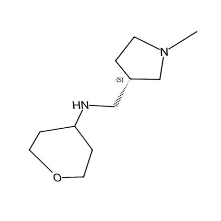 CN1CC[C@@H](CNC2CCOCC2)C1